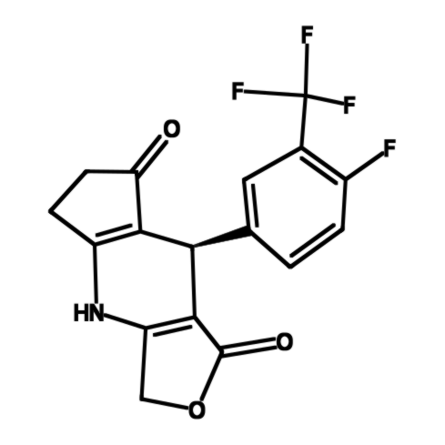 O=C1CCC2=C1[C@@H](c1ccc(F)c(C(F)(F)F)c1)C1=C(COC1=O)N2